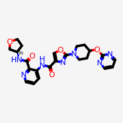 O=C(Nc1cccnc1C(=O)N[C@@H]1CCOC1)c1coc(N2CCC(Oc3ncccn3)CC2)n1